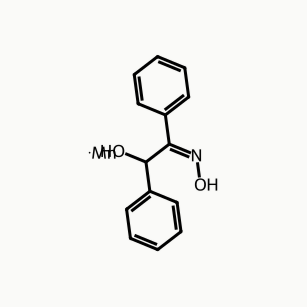 ON=C(c1ccccc1)C(O)c1ccccc1.[Mn]